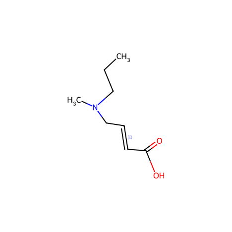 CCCN(C)C/C=C/C(=O)O